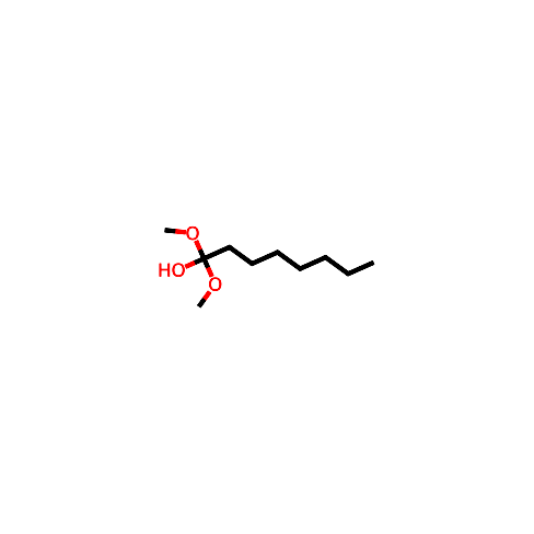 CCCCCCCC(O)(OC)OC